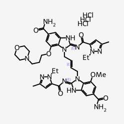 CCn1nc(C)cc1C(=O)/N=c1\[nH]c2cc(C(N)=O)cc(OC)c2n1C/C=C/Cn1/c(=N/C(=O)c2cc(C)nn2CC)[nH]c2cc(C(N)=O)cc(OCCCN3CCOCC3)c21.Cl.Cl.Cl